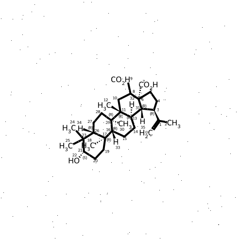 C=C(C)[C@@H]1CC[C@]2(C(=O)O)C(C(=O)O)C[C@]3(C)[C@H](CC[C@@H]4[C@@]5(C)CC[C@H](O)C(C)(C)[C@@H]5CC[C@]43C)[C@@H]12